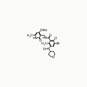 CCN(c1cc(Br)c(Cl)c(C(=O)NCc2c(OC)cc(C)[nH]c2=O)c1C)C1CCOCC1